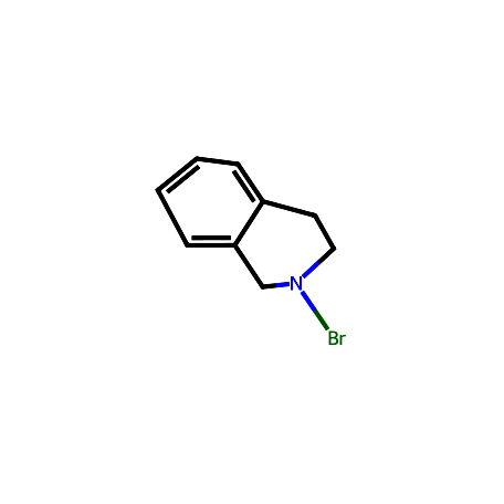 BrN1CCc2ccccc2C1